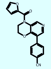 N#Cc1ccc(-c2cncc3c2OCCN3C(=O)c2ccco2)cc1